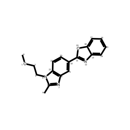 COCCn1c(C)nc2cc(-c3nc4ccccc4o3)ccc21